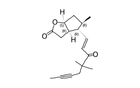 CC#CCC(C)(C)C(=O)C=C[C@@H]1[C@H]2CC(=O)O[C@H]2C[C@H]1C